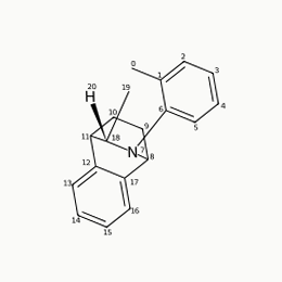 Cc1ccccc1N1C2CCC(c3ccccc32)[C@@H]1C